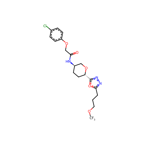 O=C(COc1ccc(Cl)cc1)N[C@@H]1CC[C@@H](c2nnc(CCCOC(F)(F)F)o2)OC1